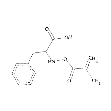 C=C(C)C(=O)ONC(Cc1ccccc1)C(=O)O